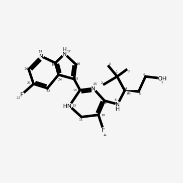 CC(C)(C)[C@@H](CCO)NC1=C(F)CNC(c2c[nH]c3ncc(F)cc23)=N1